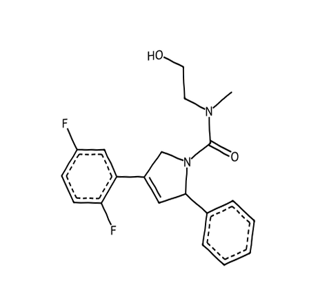 CN(CCO)C(=O)N1CC(c2cc(F)ccc2F)=CC1c1ccccc1